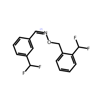 FC(F)c1cccc(/[C]=N\OCc2ccccc2C(F)F)c1